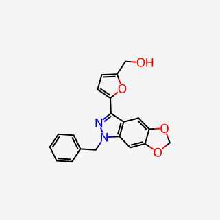 OCc1ccc(-c2nn(Cc3ccccc3)c3cc4c(cc23)OCO4)o1